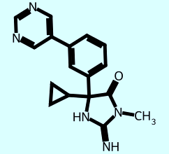 CN1C(=N)NC(c2cccc(-c3cncnc3)c2)(C2CC2)C1=O